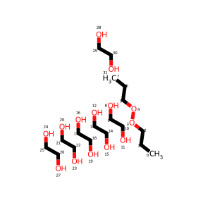 CCCOOCCC.OCCO.OCCO.OCCO.OCCO.OCCO.OCCO